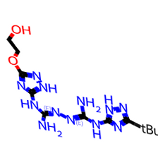 CC(C)(C)c1n[nH]c(N/C(N)=N/N=C(\N)Nc2nc(OCCO)n[nH]2)n1